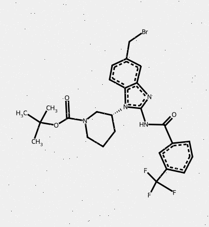 CC(C)(C)OC(=O)N1CCC[C@@H](n2c(NC(=O)c3cccc(C(F)(F)F)c3)nc3cc(CBr)ccc32)C1